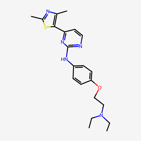 CCN(CC)CCOc1ccc(Nc2nccc(-c3sc(C)nc3C)n2)cc1